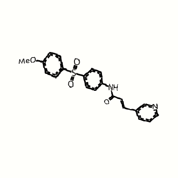 COc1ccc(S(=O)(=O)c2ccc(NC(=O)C=Cc3cccnc3)cc2)cc1